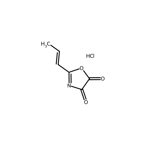 CC=CC1=NC(=O)C(=O)O1.Cl